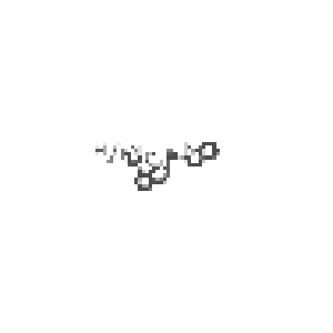 Cn1cc(-c2cccc3ccn(C4CC4c4ccc5ccccc5n4)c(=O)c23)cn1